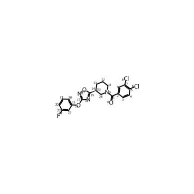 O=C(c1ccc(Cl)c(Cl)c1)N1CCC[C@H](c2nc(Oc3cccc(F)c3)no2)C1